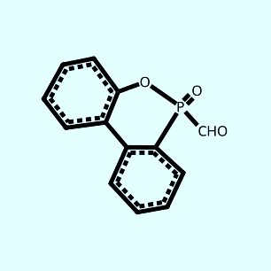 O=CP1(=O)Oc2ccccc2-c2ccccc21